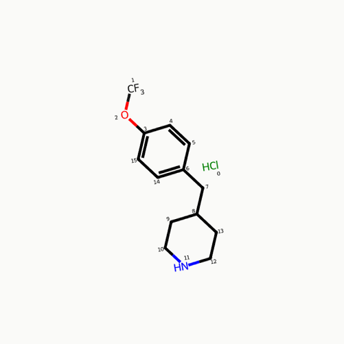 Cl.FC(F)(F)Oc1ccc(CC2CCNCC2)cc1